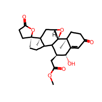 COC(=O)C[C@H]1C2C3CC[C@@]4(CCC(=O)O4)[C@@]3(C)C[C@H]3O[C@@]23[C@@]2(C)CCC(=O)C=C2[C@@H]1O